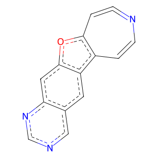 C1=Cc2oc3cc4ncncc4cc3c2C=CN=1